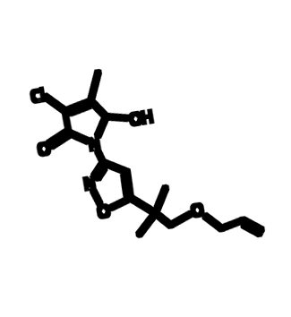 C=CCOCC(C)(C)c1cc(N2C(=O)C(Cl)=C(C)C2O)no1